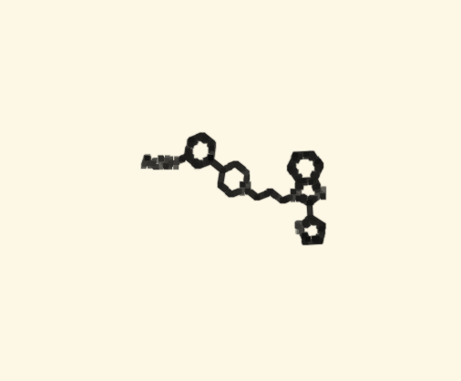 CC(=O)Nc1cccc(C2CCN(CCCn3c(-c4cccs4)nc4ccccc43)CC2)c1